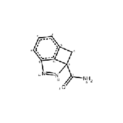 NC(=O)C12Cc3cccc(c31)N=N2